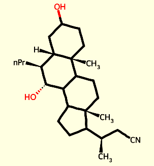 CCC[C@@H]1[C@@H](O)C2C3CCC([C@H](C)CC#N)[C@@]3(C)CCC2[C@@]2(C)CCC(O)C[C@@H]12